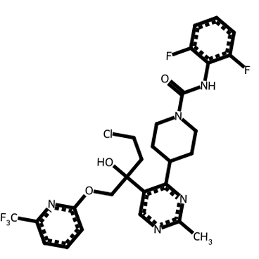 Cc1ncc(C(O)(CCCl)COc2cccc(C(F)(F)F)n2)c(C2CCN(C(=O)Nc3c(F)cccc3F)CC2)n1